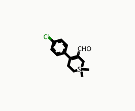 C[Si]1(C)CCC(c2ccc(Cl)cc2)=C(C=O)C1